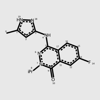 Cc1cc(Nc2nn(C(C)C)c(=O)c3cc(F)ccc23)n[nH]1